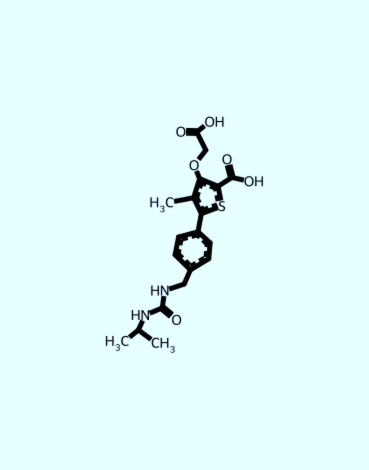 Cc1c(-c2ccc(CNC(=O)NC(C)C)cc2)sc(C(=O)O)c1OCC(=O)O